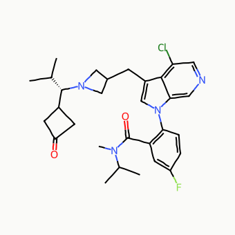 CC(C)[C@@H](C1CC(=O)C1)N1CC(Cc2cn(-c3ccc(F)cc3C(=O)N(C)C(C)C)c3cncc(Cl)c23)C1